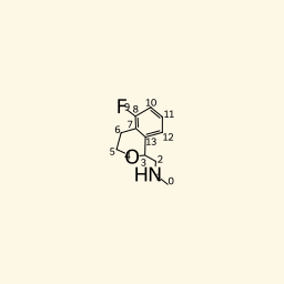 CNCC1OCCc2c(F)cccc21